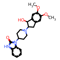 COc1cc2c(cc1OC)C(O)C(N1CCC(n3c(=O)[nH]c4ccccc43)CC1)C2